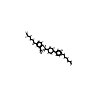 CCCCCCc1ccc(C2CCC(C(=O)Oc3ccc(CCCCCC)cc3C#N)CC2)cc1